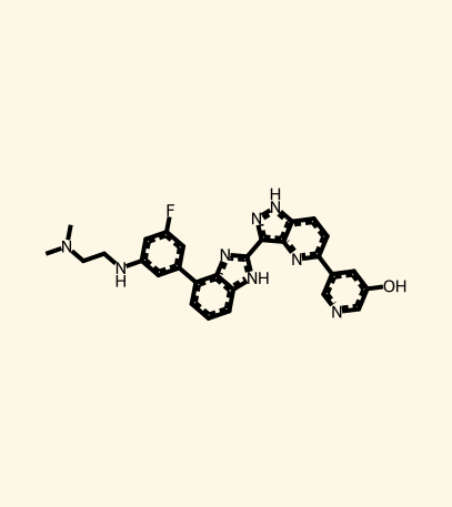 CN(C)CCNc1cc(F)cc(-c2cccc3[nH]c(-c4n[nH]c5ccc(-c6cncc(O)c6)nc45)nc23)c1